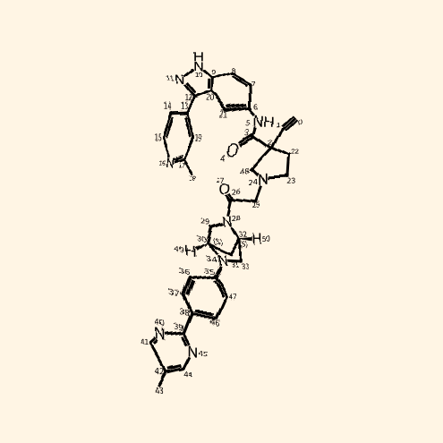 C#CC1(C(=O)Nc2ccc3[nH]nc(-c4ccnc(C)c4)c3c2)CCN(CC(=O)N2C[C@@H]3C[C@H]2CN3c2ccc(-c3ncc(C)cn3)cc2)C1